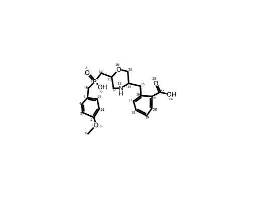 COc1ccc(CP(=O)(O)CC2CNC(Cc3ccccc3C(=O)O)CO2)cc1